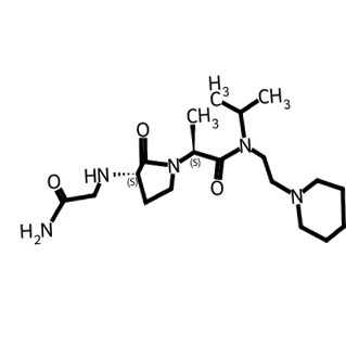 CC(C)N(CCN1CCCCC1)C(=O)[C@H](C)N1CC[C@H](NCC(N)=O)C1=O